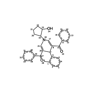 Cc1ccccc1C1C(C(=O)c2ccccc2)=CN(C2CCCC2O)C=C1C(=O)c1ccccc1